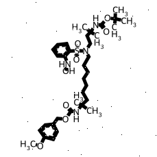 COc1ccc(COC(=O)NC(C)(C)CCCCCCCN(CCC(C)(C)NC(=O)OC(C)(C)C)S(=O)(=O)c2ccccc2NO)cc1